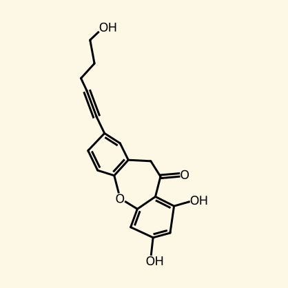 O=C1Cc2cc(C#CCCCO)ccc2Oc2cc(O)cc(O)c21